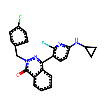 O=c1c2ccccc2c(-c2ccc(NC3CC3)nc2F)nn1Cc1ccc(Cl)cc1